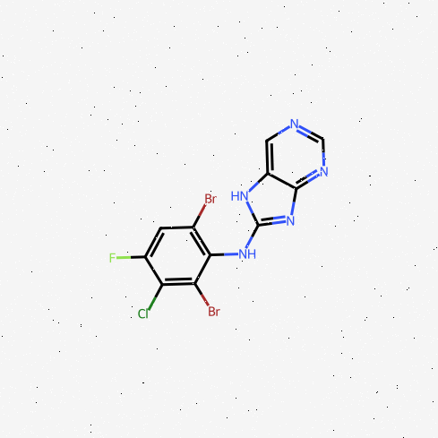 Fc1cc(Br)c(Nc2nc3ncncc3[nH]2)c(Br)c1Cl